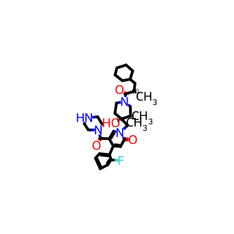 C[C@H](CC1CCCCC1)C(=O)N1CC[C@](O)(Cn2cc(C(=O)N3CCNCC3)c(-c3ccccc3F)cc2=O)C(C)(C)C1